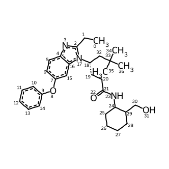 CCc1nc2ccc(Oc3ccccc3)cc2n1[C@@H](CCC(=O)NC1CCCCC1CO)CC(C)(C)C